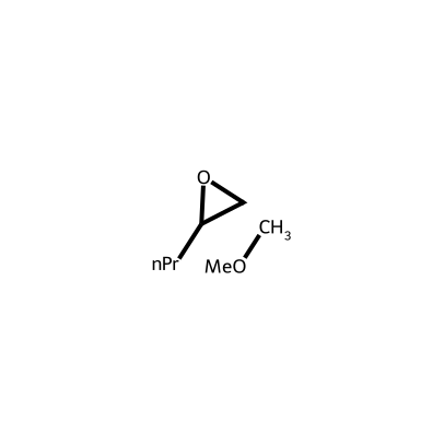 CCCC1CO1.COC